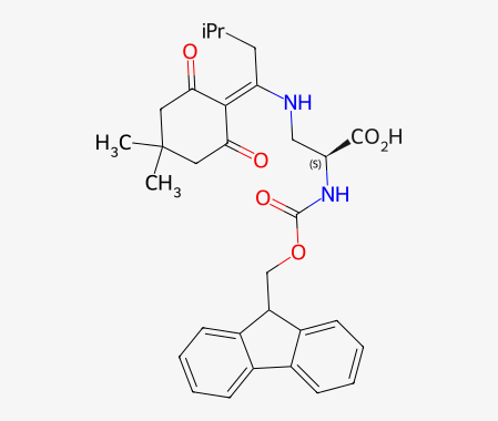 CC(C)CC(NC[C@H](NC(=O)OCC1c2ccccc2-c2ccccc21)C(=O)O)=C1C(=O)CC(C)(C)CC1=O